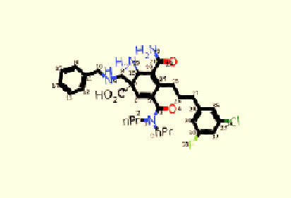 CCCN(CCC)C(=O)C1=C[C@](CNCc2ccccc2)(C(=O)O)[C@@H](N)C(C(N)=O)=C1CCCc1cc(F)cc(Cl)c1